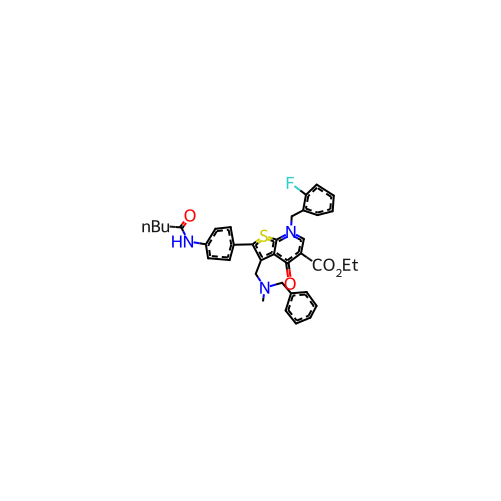 CCCCC(=O)Nc1ccc(-c2sc3c(c2CN(C)Cc2ccccc2)c(=O)c(C(=O)OCC)cn3Cc2ccccc2F)cc1